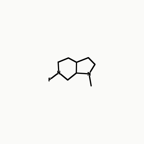 CN1CCC2CCN(F)CC21